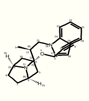 C#CCO[C@@H]1C[C@H]2CC[C@@H](C1)N2C[C@@H](C)Cn1ncc2ccccc21